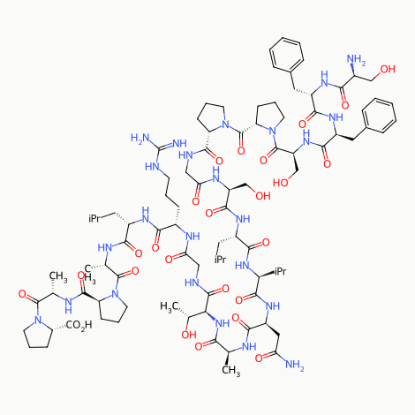 CC(C)C[C@H](NC(=O)[C@H](CCCNC(=N)N)NC(=O)CNC(=O)[C@@H](NC(=O)[C@H](C)NC(=O)[C@H](CC(N)=O)NC(=O)[C@@H](NC(=O)[C@H](CC(C)C)NC(=O)[C@H](CO)NC(=O)CNC(=O)[C@@H]1CCCN1C(=O)[C@@H]1CCCN1C(=O)[C@H](CO)NC(=O)[C@H](Cc1ccccc1)NC(=O)[C@H](Cc1ccccc1)NC(=O)[C@@H](N)CO)C(C)C)[C@@H](C)O)C(=O)N[C@@H](C)C(=O)N1CCC[C@H]1C(=O)N[C@@H](C)C(=O)N1CCC[C@H]1C(=O)O